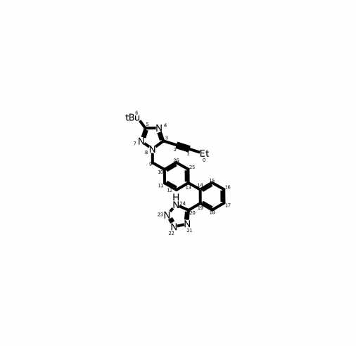 CCC#Cc1nc(C(C)(C)C)nn1Cc1ccc(-c2ccccc2-c2nnn[nH]2)cc1